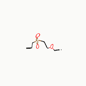 [CH2]COCCS(=O)(=O)CC=C